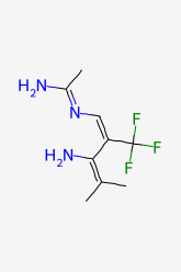 CC(C)=C(N)/C(=C\N=C(/C)N)C(F)(F)F